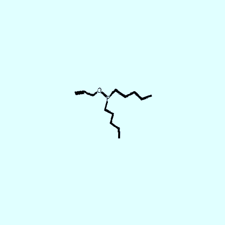 C=CCOP(CCCCC)CCCCC